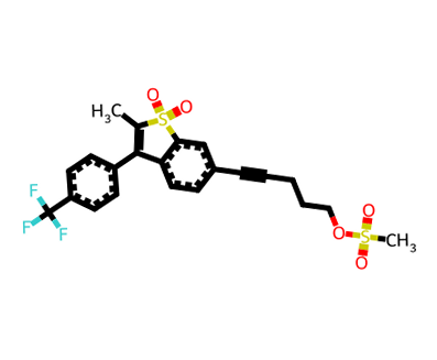 CC1=C(c2ccc(C(F)(F)F)cc2)c2ccc(C#CCCCOS(C)(=O)=O)cc2S1(=O)=O